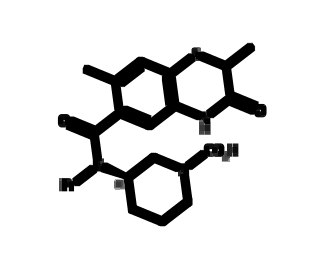 Cc1cc2c(cc1C(=O)N(C(C)C)[C@@H]1CCCN(C(=O)O)C1)NC(=O)C(C)S2